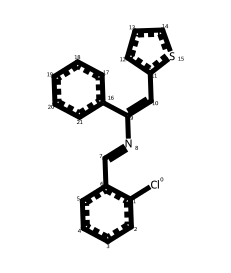 Clc1ccccc1C=NC(=Cc1cccs1)c1ccccc1